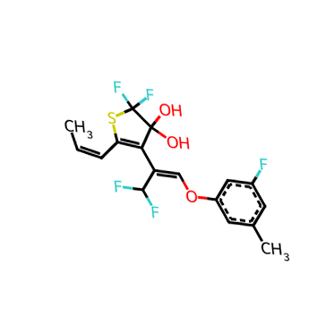 C/C=C\C1=C(C(=C/Oc2cc(C)cc(F)c2)/C(F)F)C(O)(O)C(F)(F)S1